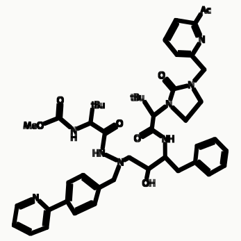 COC(=O)NC(C(=O)NN(Cc1ccc(-c2ccccn2)cc1)CC(O)C(Cc1ccccc1)NC(=O)C(N1CCN(Cc2cccc(C(C)=O)n2)C1=O)C(C)(C)C)C(C)(C)C